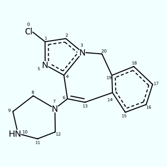 Clc1cn2c(n1)C(N1CCNCC1)=Cc1ccccc1C2